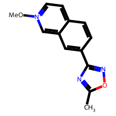 CO[n+]1ccc2ccc(-c3noc(C)n3)cc2c1